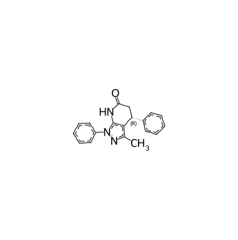 Cc1nn(-c2ccccc2)c2c1[C@@H](c1ccccc1)CC(=O)N2